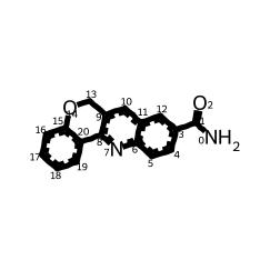 NC(=O)c1ccc2nc3c(cc2c1)COc1ccccc1-3